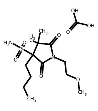 CCCCC1(S(N)(=O)=O)C(=O)N(CCOC)C(=O)C1(C)C.O=C(O)O